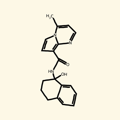 Cc1ccnc2c(C(=O)NC3(O)CCCc4ccccc43)ccn12